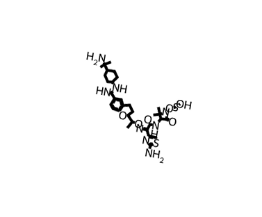 CC(O/N=C(\C(=O)NC1C(=O)N(OSO)C1(C)C)c1csc(N)n1)C1CCc2cc(C(=N)NC3CCC(C(C)(C)N)CC3)ccc2O1